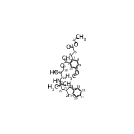 CCOC(=O)CCc1ccc(OC)cc1[C@@H](C)OC[C@H](O)CNC(C)(C)CC1Cc2ccccc2C1